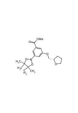 COC(=O)c1cc(OC[C@@H]2CCCO2)cc(B2OC(C)(C)C(C)(C)O2)c1